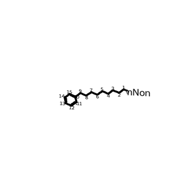 CCCCCCCCCCCCCCCCCCc1[c]cccc1